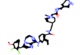 CCc1cc(Nc2nccn3c(-c4ccc(OC)c(F)c4F)cnc23)ccc1C(=O)NCC1CC[N+](C)(CC(=O)NCC2CCNC2)CC1